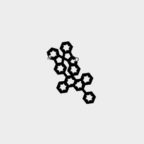 c1ccc(-c2cc3c4ccccc4c(-c4ccc5c(c4)C4(c6ccccc6-c6oc7ccccc7c64)c4cccnc4-5)cc3c3ccccc23)cc1